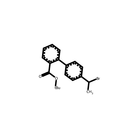 CC(Br)c1ccc(-c2ccccc2C(=O)OC(C)(C)C)cc1